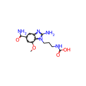 COc1cc(C(N)=O)cc2nc(N)n(CCCNC(=O)O)c12